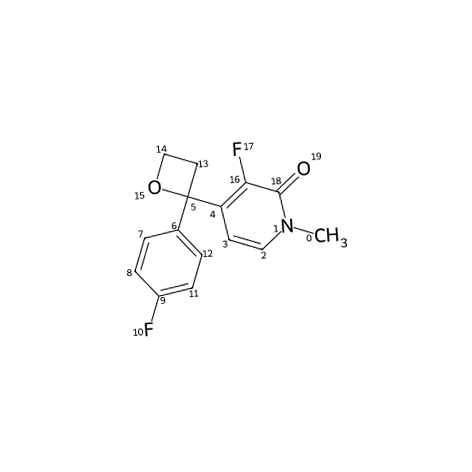 Cn1ccc(C2(c3ccc(F)cc3)CCO2)c(F)c1=O